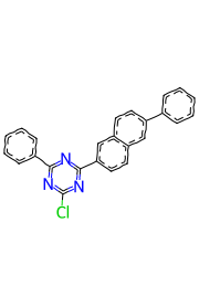 Clc1nc(-c2ccccc2)nc(-c2ccc3cc(-c4ccccc4)ccc3c2)n1